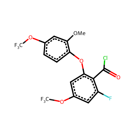 COc1cc(OC(F)(F)F)ccc1Oc1cc(OC(F)(F)F)cc(F)c1C(=O)Cl